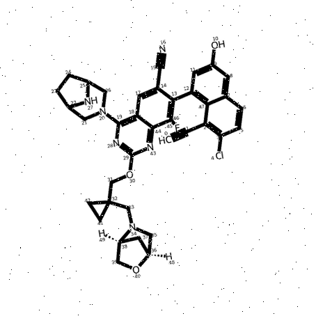 C#Cc1c(Cl)ccc2cc(O)cc(-c3c(C#N)cc4c(N5CC6CCC(C5)N6)nc(OCC5(CN6C[C@@H]7C[C@H]6CO7)CC5)nc4c3F)c12